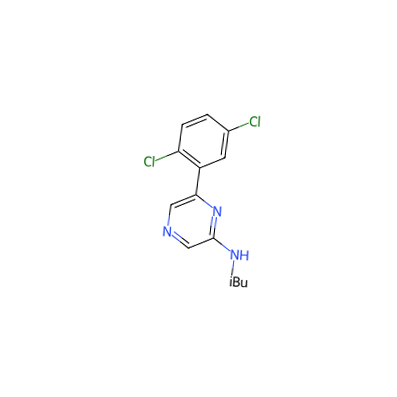 CCC(C)Nc1cncc(-c2cc(Cl)ccc2Cl)n1